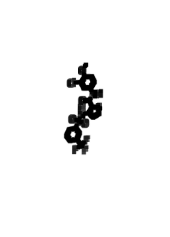 COc1ccc(NC(=O)c2sccc2NS(=O)(=O)c2cccc(C(F)(F)F)c2)cc1Cl